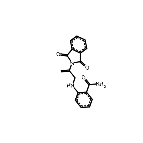 C=C(CNc1ccccc1C(N)=O)N1C(=O)c2ccccc2C1=O